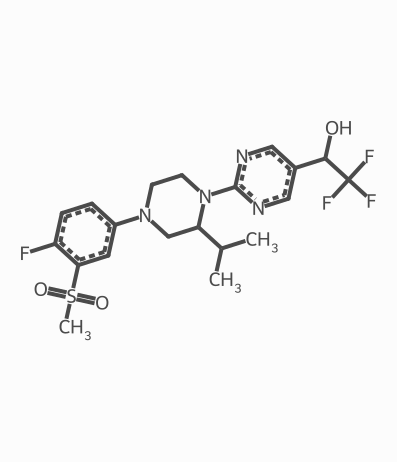 CC(C)C1CN(c2ccc(F)c(S(C)(=O)=O)c2)CCN1c1ncc(C(O)C(F)(F)F)cn1